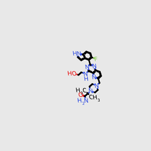 CC(C)(C(N)=O)N1CCN(Cc2ccc3nc(-c4c(F)ccc5[nH]ccc45)nc(NCCO)c3n2)CC1